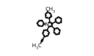 CC#Cc1ccc(-c2c(-c3ccccc3)c(-c3ccccc3)c(-c3ccc(C)cc3)n2-c2ccccc2)cc1